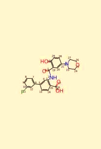 O=C(Nc1cc(-c2cccc(F)c2)ccc1C(=O)O)c1cc(N2CCOCC2)ccc1O